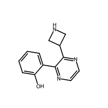 Oc1ccccc1-c1nccnc1C1CNC1